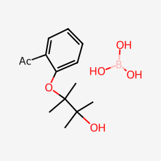 CC(=O)c1ccccc1OC(C)(C)C(C)(C)O.OB(O)O